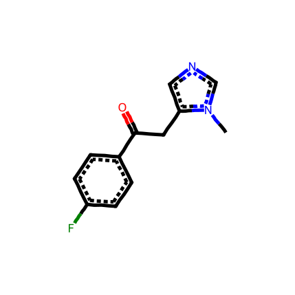 Cn1cncc1CC(=O)c1ccc(F)cc1